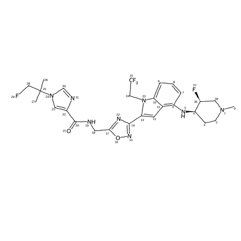 CN1CC[C@@H](Nc2cccc3c2cc(-c2noc(CNC(=O)c4cn(C(C)(C)CF)cn4)n2)n3CC(F)(F)F)[C@@H](F)C1